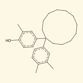 Cc1ccc(C2(c3ccc(O)c(C)c3)CCCCCCCCCCC2)cc1C